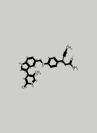 CC#C[C@@H](CC(N)=O)c1ccc(OCc2ccc3scc(-c4cc(Cl)ncc4C)c3c2)cc1